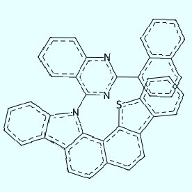 c1ccc2c(-c3nc(-n4c5ccccc5c5ccc6ccc7c8ccccc8sc7c6c54)c4ccccc4n3)cccc2c1